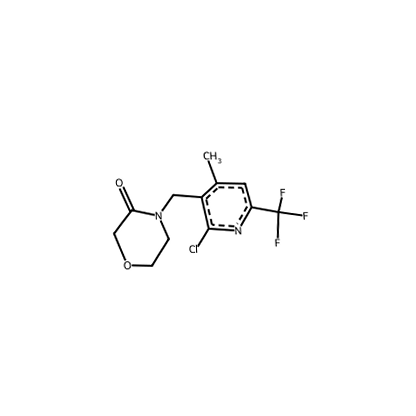 Cc1cc(C(F)(F)F)nc(Cl)c1CN1CCOCC1=O